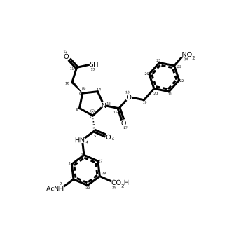 CC(=O)Nc1cc(NC(=O)[C@@H]2C[C@@H](CC(=O)S)CN2C(=O)OCc2ccc([N+](=O)[O-])cc2)cc(C(=O)O)c1